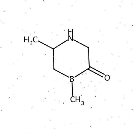 CB1CC(C)NCC1=O